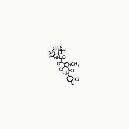 Cn1cc(C(=O)C(=O)NC2(c3cnnn3C)CC(F)(F)C2)c(Cl)c1C(=O)Nc1ccc(F)c(Cl)c1